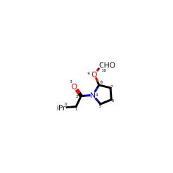 CC(C)CC(=O)N1CCCC1OC=O